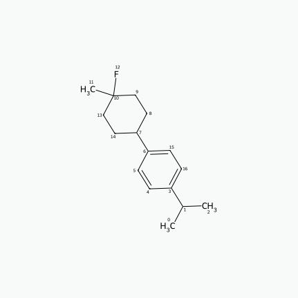 CC(C)c1ccc(C2CCC(C)(F)CC2)cc1